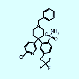 NS(=O)(=O)c1ccc(OC(F)(F)F)cc1C1(c2ccc(Cl)nc2)CCN(Cc2ccccc2)CC1